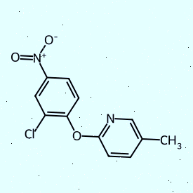 Cc1ccc(Oc2ccc([N+](=O)[O-])cc2Cl)nc1